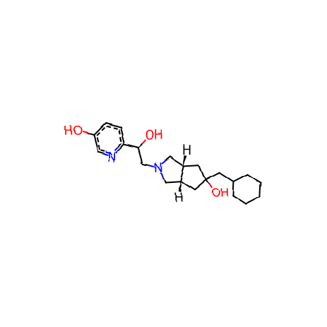 Oc1ccc(C(O)CN2C[C@@H]3CC(O)(CC4CCCCC4)C[C@@H]3C2)nc1